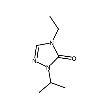 CCn1cnn(C(C)C)c1=O